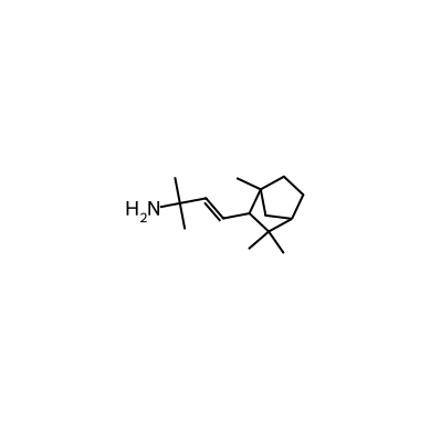 CC(C)(N)C=CC1C2(C)CCC(C2)C1(C)C